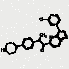 CN(C(=O)c1ccn2ncc(-c3cccc(Cl)c3)c2n1)c1ccc(N2CCNCC2)cc1